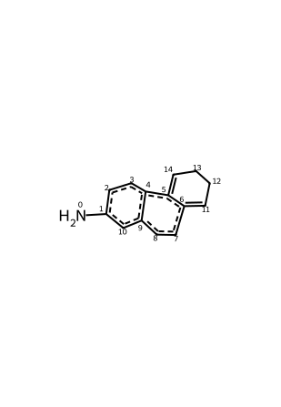 Nc1ccc2c3c(ccc2c1)=CCCC=3